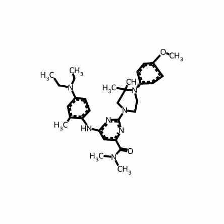 CCN(CC)c1ccc(Nc2cc(C(=O)N(C)C)nc(N3CCN(c4ccc(OC)cc4)C(C)(C)C3)n2)c(C)c1